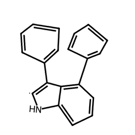 [c]1[nH]c2cccc(-c3ccccc3)c2c1-c1ccccc1